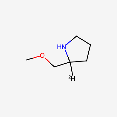 [2H]C1(COC)CCCN1